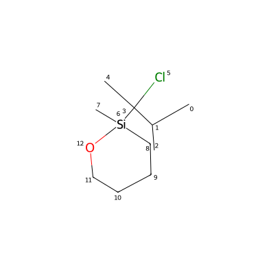 CC(C)C(C)(Cl)[Si]1(C)CCCCO1